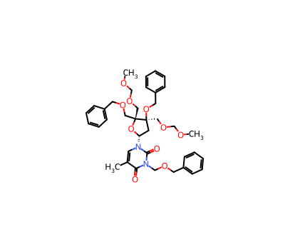 COCOC[C@]1(OCc2ccccc2)C[C@H](n2cc(C)c(=O)n(COCc3ccccc3)c2=O)O[C@]1(COCOC)COCc1ccccc1